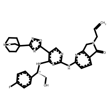 C=CCN1Cc2nc(Nc3ncc(-c4nc(C56CCN(CC5)CC6)no4)c(N[C@H](CO)c4ccc(F)cc4)n3)ccc2C1=O